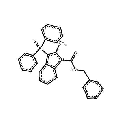 Cc1c(P(=S)(c2ccccc2)c2ccccc2)c2ccccc2n1C(=O)NCc1ccccc1